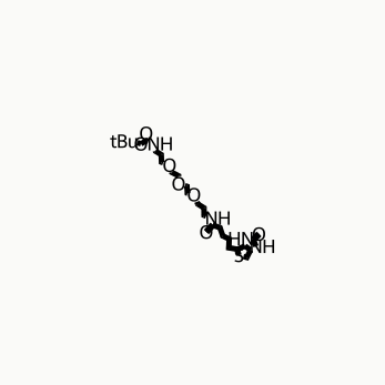 CC(C)(C)OC(=O)NCCCOCCOCCOCCCNC(=O)CCCCC1SCC2NC(=O)NC21